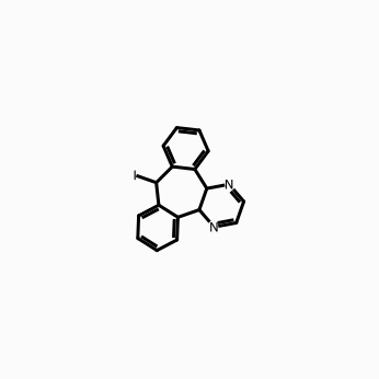 IC1c2ccccc2C2N=CC=NC2c2ccccc21